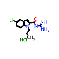 CCCn1c(C(=O)NC(=N)N)cc2cc(Cl)ccc21.Cl